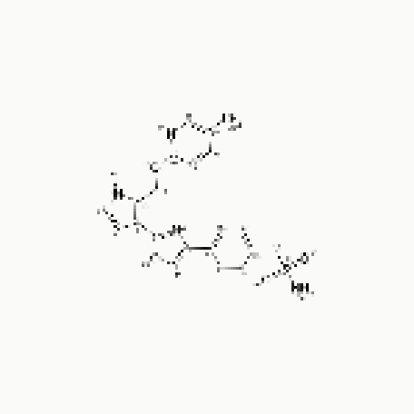 Cn1ncc(-c2nc(-c3ccc(CS(N)(=O)=O)cc3)no2)c1COc1ccc(C(F)(F)F)cn1